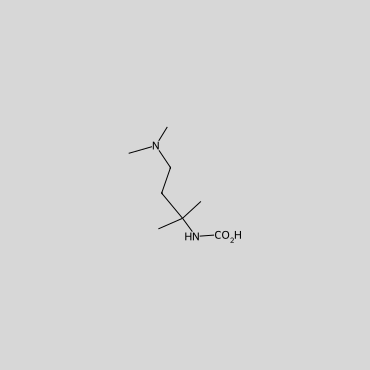 CN(C)CCC(C)(C)NC(=O)O